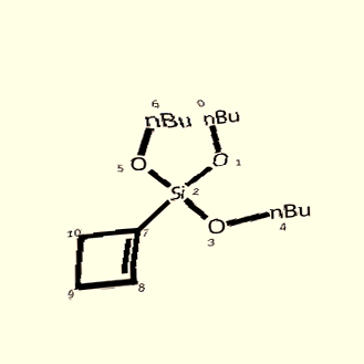 CCCCO[Si](OCCCC)(OCCCC)C1=CCC1